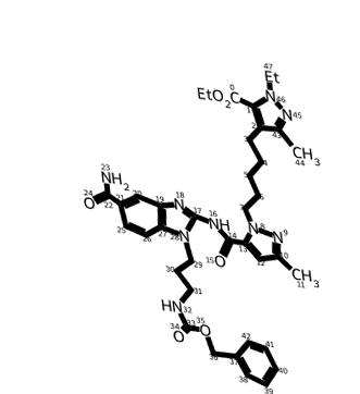 CCOC(=O)c1c(CCCCCn2nc(C)cc2C(=O)Nc2nc3cc(C(N)=O)ccc3n2CCCNC(=O)OCc2ccccc2)c(C)nn1CC